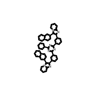 c1ccc(-c2nc(-c3cccc(-c4nc5ccccn5c4-c4ccc5ccccc5c4)c3)nc(-c3cccc(-c4nc5ccccn5c4-c4ccc5ccccc5c4)c3)n2)cc1